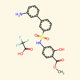 COC(=O)c1ccc(NS(=O)(=O)c2cccc(-c3cccc(N)c3)c2)cc1O.O=C(O)C(F)(F)F